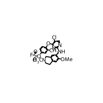 COc1cc2c(cc1Nc1ncc(Cl)c(Oc3ccc(OS(=O)(=O)F)cc3C)n1)CN(C)CC2